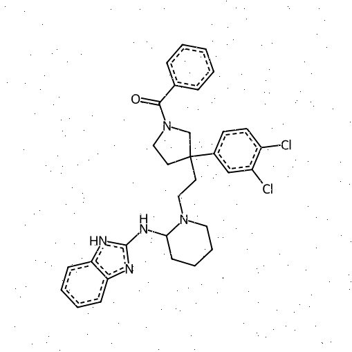 O=C(c1ccccc1)N1CCC(CCN2CCCCC2Nc2nc3ccccc3[nH]2)(c2ccc(Cl)c(Cl)c2)C1